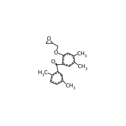 Cc1ccc(C)c(C(=O)c2cc(C)c(C)cc2OCC2CO2)c1